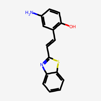 Nc1ccc(O)c(C=Cc2nc3ccccc3s2)c1